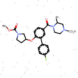 CC(C)C1CN(C(=O)O)CCN1C(=O)c1ccc(OC2CCN(C(=O)OC(C)(C)C)C2)c(-c2ccc(F)cc2)c1